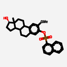 COc1cc2c(cc1OS(=O)(=O)c1cccc3ccccc13)CCC1C2CCC2(C)C1CC[C@@H]2O